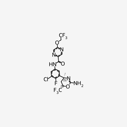 C[C@@]1(c2cc(NC(=O)c3cnc(OCC(F)(F)F)cn3)cc(Cl)c2F)C[C@@H](C(F)(F)F)OC(N)=N1